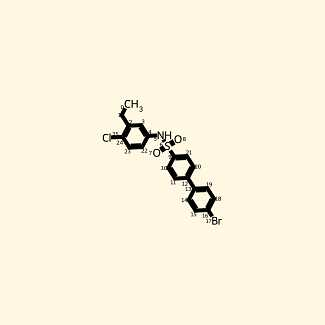 CCc1cc(NS(=O)(=O)c2ccc(-c3ccc(Br)cc3)cc2)ccc1Cl